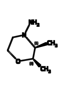 C[C@H]1OCCN(N)[C@H]1C